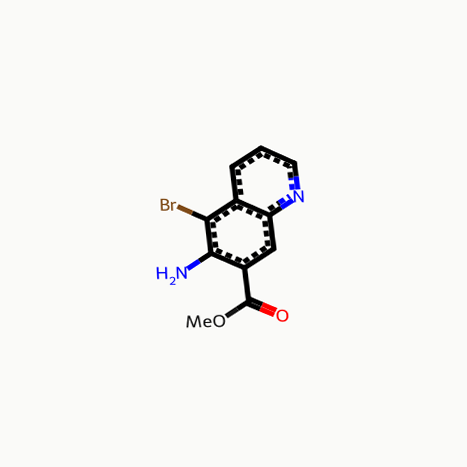 COC(=O)c1cc2ncccc2c(Br)c1N